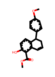 COC(=O)c1c(O)ccc2c1C=CCC2c1ccc(OC)cc1